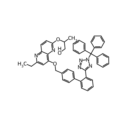 CCc1cc(OCc2ccc(-c3ccccc3-c3nnn(C(c4ccccc4)(c4ccccc4)c4ccccc4)n3)cc2)c2nc(OC(C)CO)ccc2n1